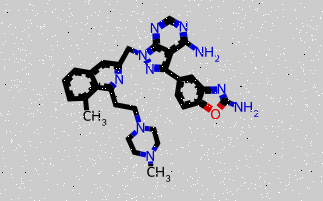 Cc1cccc2cc(Cn3nc(-c4ccc5oc(N)nc5c4)c4c(N)ncnc43)nc(CCN3CCN(C)CC3)c12